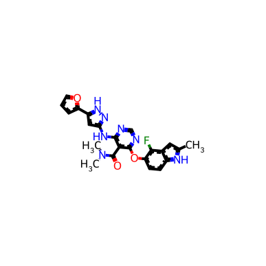 Cc1cc2c(F)c(Oc3ncnc(Nc4cc(-c5ccco5)[nH]n4)c3C(=O)N(C)C)ccc2[nH]1